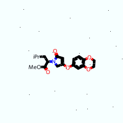 COC(=O)C(CC(C)C)N1CC(Oc2ccc3c(c2)OCCO3)=CC1=O